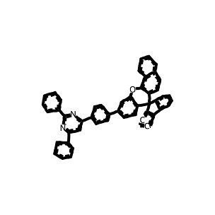 c1ccc(-c2cc(-c3ccc(-c4ccc5c(c4)Oc4c(ccc6ccccc46)C54c5ccccc5-c5ccccc54)cc3)nc(-c3ccccc3)n2)cc1